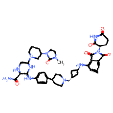 CN1CCN([C@@H]2CCCN(C3CNC(C(N)=O)C(Nc4ccc(C5CCN(C[C@H]6C[C@H](Nc7cccc8c7C(=O)N([C@@H]7CCC(=O)NC7=O)C8=O)C6)CC5)cc4)N3)C2)C1=O